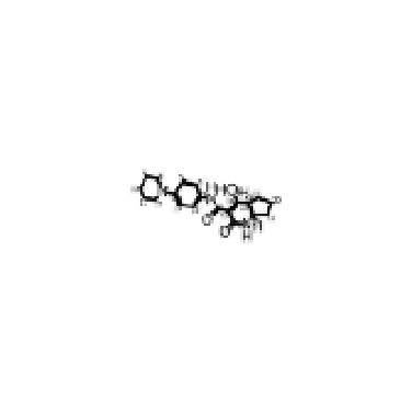 O=C(Nc1ccc(N2CCCCC2)cc1)C1=C(O)[C@@H]2CCC[C@@H]2NC1=O